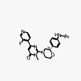 CC(C)Nc1ccc([C@H]2CN(c3nc(-c4ccncc4F)cc(=O)n3C)CCO2)cc1